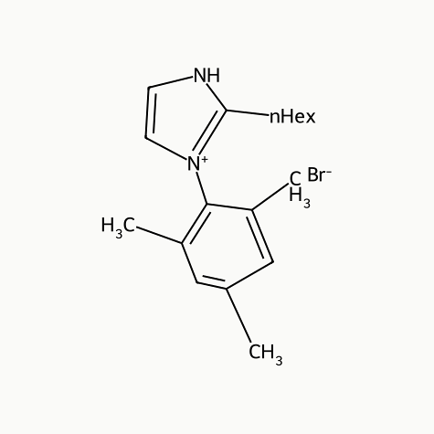 CCCCCCc1[nH]cc[n+]1-c1c(C)cc(C)cc1C.[Br-]